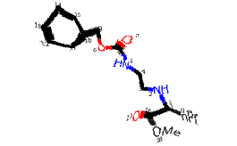 CCCC(NCCNC(=O)OCc1ccccc1)C(=O)OC